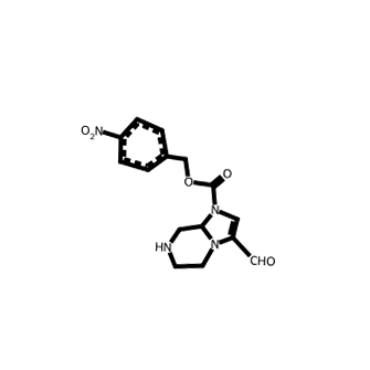 O=CC1=CN(C(=O)OCc2ccc([N+](=O)[O-])cc2)C2CNCCN12